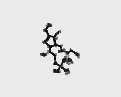 CCOc1nn([C@@H](C)CO[Si](C)(C)C(C)(C)C)c(CN[C@@H](C)CO)c1I